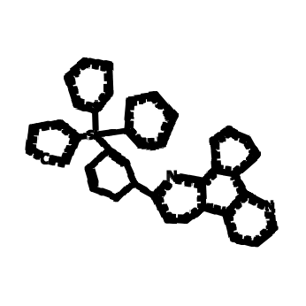 C1=CC([Si](c2ccccc2)(c2ccccc2)c2ccccc2)=CC(c2ccc3c4cccnc4c4ccccc4c3n2)C1